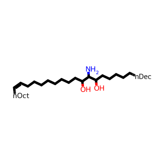 CCCCCCCC/C=C\CCCCCCCCC(O)C(N)C(O)CCCCCCCCCCCCCCC